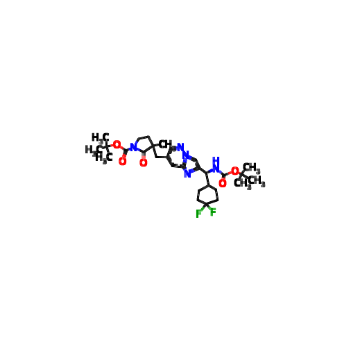 CC(C)(C)OC(=O)N[C@H](c1cn2ncc(CC3(C)CCN(C(=O)OC(C)(C)C)C3=O)cc2n1)C1CCC(F)(F)CC1